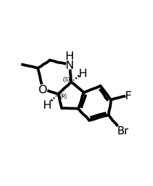 CC1CN[C@H]2c3cc(F)c(Br)cc3C[C@H]2O1